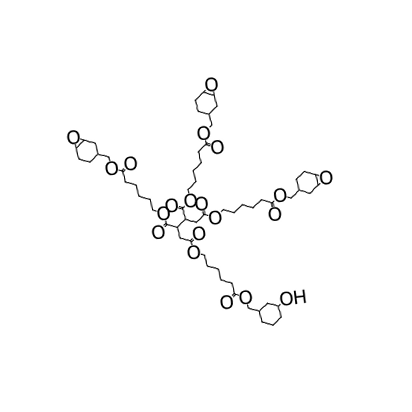 O=C(CCCCCOC(=O)CC(C(=O)OCCCCCC(=O)OCC1CCC2OC2C1)C(CC(=O)OCCCCCC(=O)OCC1CCC2OC2C1)C(=O)OCCCCCC(=O)OCC1CCC2OC2C1)OCC1CCCC(O)C1